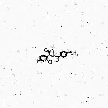 COc1ccc(C(=O)NCC(C(=O)O)c2ccc(Cl)cc2Cl)cc1